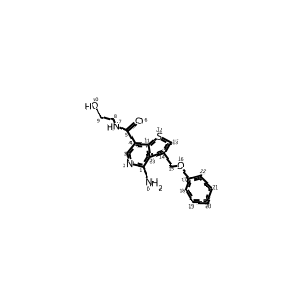 Nc1ncc(C(=O)NCCO)c2scc(COc3ccccc3)c12